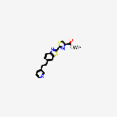 COC(=O)C1CSC(c2nc3ccc(CCc4cccnc4)cc3s2)=N1